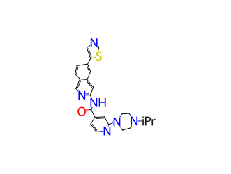 CC(C)N1CCN(c2cc(C(=O)Nc3cc4cc(-c5cncs5)ccc4cn3)ccn2)CC1